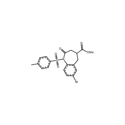 COC(=O)C1CC(=O)N(S(=O)(=O)c2ccc(C)cc2)c2ccc(Br)cc2C1